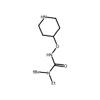 CCN(C(=O)NOC1CCNCC1)C(C)(C)C